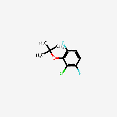 CC(C)(C)Oc1c(F)ccc(F)c1Cl